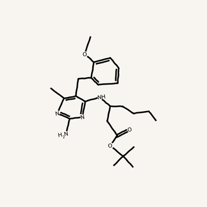 CCCCC(CC(=O)OC(C)(C)C)Nc1nc(N)nc(C)c1Cc1ccccc1OC